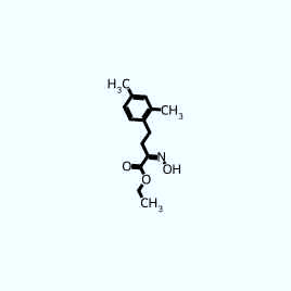 CCOC(=O)C(CCc1ccc(C)cc1C)=NO